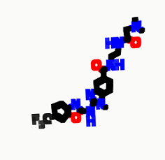 CN(C)CC(=O)NCCNC(=O)c1ccc2c(c1)nc(Nc1nc3ccc(C(F)(F)F)cc3o1)n2C